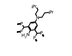 C=PC(P=C)c1cc(N(CCC(C)C)CCC(C)C)cc(C(P=C)P=C)c1N